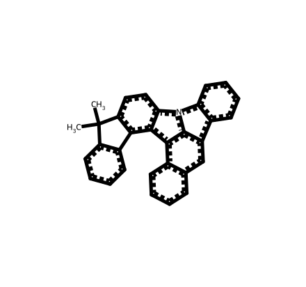 CC1(C)c2ccccc2-c2c1ccc1c2c2c3ccccc3cc3c4ccccc4n1c32